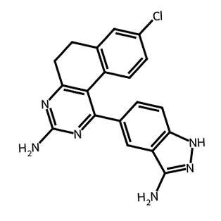 Nc1nc2c(c(-c3ccc4[nH]nc(N)c4c3)n1)-c1ccc(Cl)cc1CC2